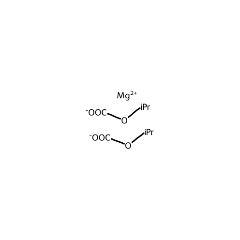 CC(C)OC(=O)[O-].CC(C)OC(=O)[O-].[Mg+2]